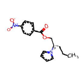 CCC[C@@H](COC(=O)c1ccc([N+](=O)[O-])cc1)n1cccc1